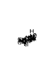 O=C1Nc2ccc(Oc3c(Cl)cc([N+](=O)[O-])cc3Cl)c(F)c2C12CCC2